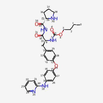 CCCCOC(=O)N[C@@H](Cc1ccc(Oc2ccc(Nc3ccccn3)cc2)cc1)C(=O)NC(=O)[C@@H]1CCCN1